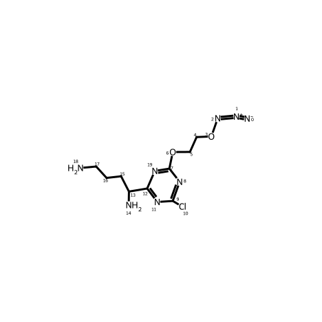 [N-]=[N+]=NOCCOc1nc(Cl)nc(C(N)CCCN)n1